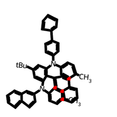 Cc1ccc(N(c2ccc(-c3ccccc3)cc2)c2cc(C(C)(C)C)cc(N(c3ccc(C)cc3)c3ccc4ccccc4c3)c2-c2ccc3ccccc3c2)cc1